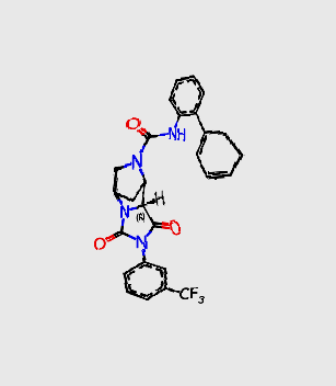 O=C1[C@H]2C3CC(CN3C(=O)Nc3ccccc3C3=CC=CCC3)N2C(=O)N1c1cccc(C(F)(F)F)c1